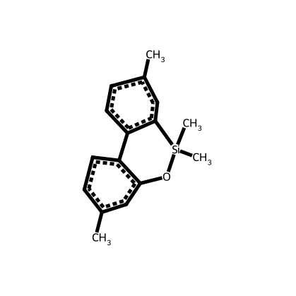 Cc1ccc2c(c1)O[Si](C)(C)c1cc(C)ccc1-2